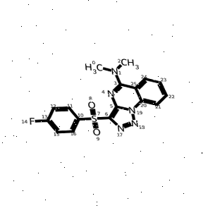 CN(C)c1nc2c(S(=O)(=O)c3ccc(F)cc3)nnn2c2ccccc12